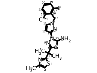 Cc1csc(C(C)(C)C2=NN(c3ccn(Cc4c(F)cccc4Cl)n3)C(N)S2)n1